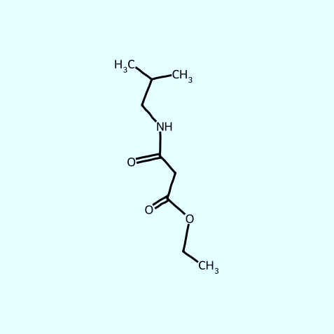 CCOC(=O)CC(=O)NCC(C)C